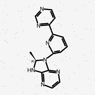 C[C@@H]1Nc2nccnc2N1c1cccc(-c2ccncn2)n1